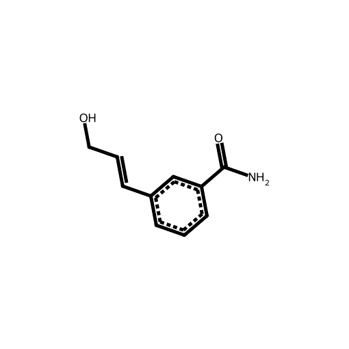 NC(=O)c1cccc(/C=C/CO)c1